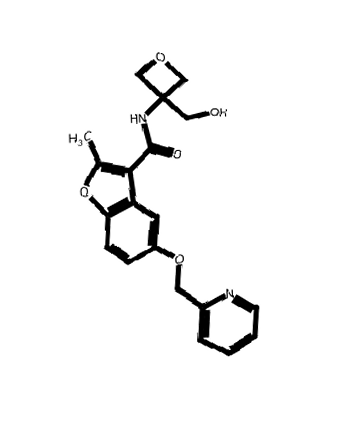 Cc1oc2ccc(OCc3ccccn3)cc2c1C(=O)NC1(CO)COC1